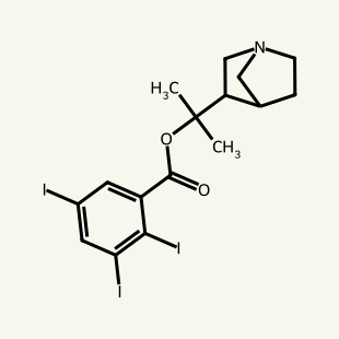 CC(C)(OC(=O)c1cc(I)cc(I)c1I)C1CN2CCC1C2